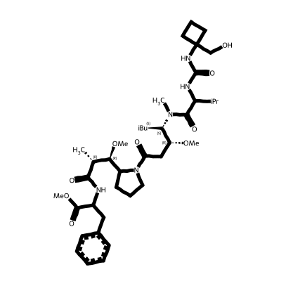 CC[C@H](C)[C@@H]([C@@H](CC(=O)N1CCCC1[C@H](OC)[C@@H](C)C(=O)NC(Cc1ccccc1)C(=O)OC)OC)N(C)C(=O)C(NC(=O)NC1(CO)CCC1)C(C)C